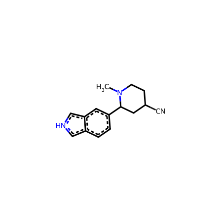 CN1CCC(C#N)CC1c1ccc2c[nH]cc2c1